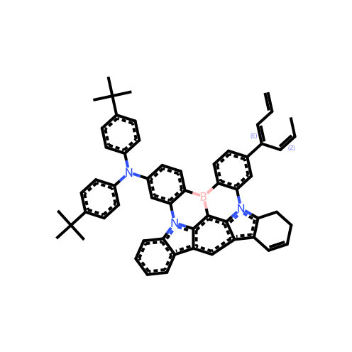 C=C/C=C(\C=C/C)c1ccc2c(c1)-n1c3c(c4cc5c6ccccc6n6c5c(c41)B2c1ccc(N(c2ccc(C(C)(C)C)cc2)c2ccc(C(C)(C)C)cc2)cc1-6)C=CCC3